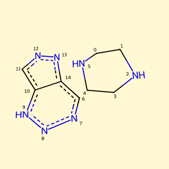 C1CNCCN1.c1nn[nH]c2cnnc1-2